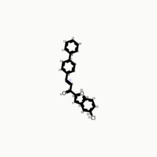 O=C(/C=C/c1ccc(-c2ccccc2)cc1)c1cc2cc(Cl)ccc2o1